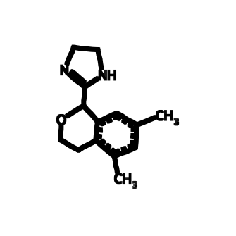 Cc1cc(C)c2c(c1)C(C1=NCCN1)OCC2